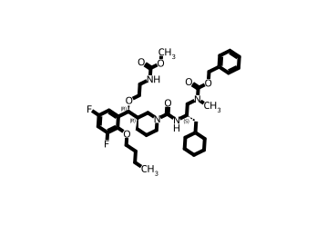 CCCCOc1c(F)cc(F)cc1[C@H](OCCNC(=O)OC)[C@@H]1CCCN(C(=O)N[C@@H](CC2CCCCC2)CN(C)C(=O)OCc2ccccc2)C1